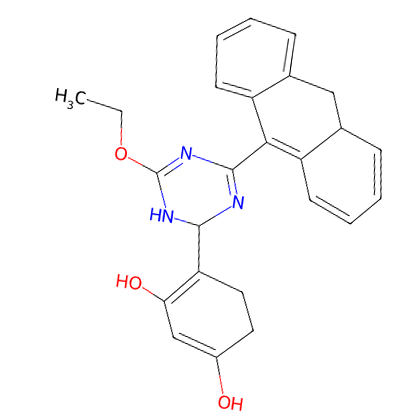 CCOC1=NC(C2=C3C=CC=CC3Cc3ccccc32)=NC(C2=C(O)C=C(O)CC2)N1